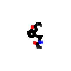 CC1Cc2c(cccc2C2CC2NC(=O)C(C)(C)C)O1